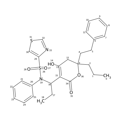 CCCC1(CCc2ccccc2)CC(O)=C(C(CC)N(c2ccccc2)S(=O)(=O)c2cscn2)C(=O)O1